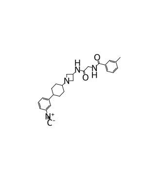 [C-]#[N+]c1cccc(C2CCC(N3CC(NC(=O)CNC(=O)c4cccc(C)c4)C3)CC2)c1